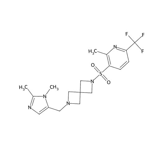 Cc1nc(C(F)(F)F)ccc1S(=O)(=O)N1CC2(CN(Cc3cnc(C)n3C)C2)C1